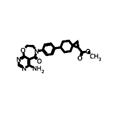 COC(=O)C1CC12CCC(c1ccc(N3CCOc4ncnc(N)c4C3=O)cc1)CC2